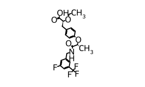 CCO[C@@H](Cc1ccc(O[C@H](C)C(=O)NCc2cc(F)cc(C(F)(F)F)c2)cc1)C(=O)O